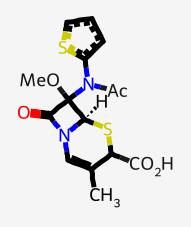 COC1(N(C(C)=O)c2cccs2)C(=O)N2C=C(C)C(C(=O)O)S[C@@H]21